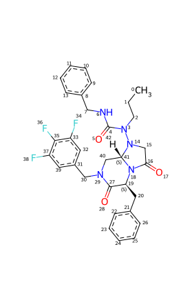 CCCN(C(=O)NCc1ccccc1)N1CC(=O)N2[C@@H](Cc3ccccc3)C(=O)N(Cc3cc(F)c(F)c(F)c3)C[C@@H]21